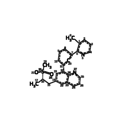 Cc1cccnc1-c1cccc(-c2cc(CC(C)S(C)(=O)=O)cc3cccnc23)c1